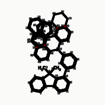 CC1(C)c2ccccc2-c2cccc(-c3cccc(N(c4ccccc4-c4cccc5cccc(C6CCCCC6)c45)c4cccc5oc6ccccc6c45)c3)c21